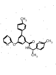 Cc1ccc(-c2cc(Oc3ccccn3)cc(C(=O)N[C@H](C)c3ccc(C)nc3)c2)cc1